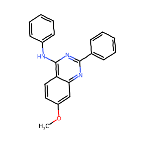 COc1ccc2c(Nc3ccccc3)nc(-c3ccccc3)nc2c1